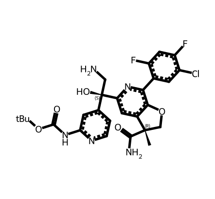 CC(C)(C)OC(=O)Nc1cc([C@](O)(CN)c2cc3c(c(-c4cc(Cl)c(F)cc4F)n2)OC[C@]3(C)C(N)=O)ccn1